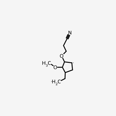 [CH2]CC1C[CH]C(OCCC#N)C1OC